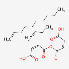 C=CCC.C=CCCCCCCCC.O=C(O)/C=C\C(=O)OC(=O)/C=C\C(=O)O